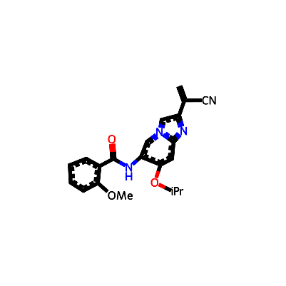 C=C(C#N)c1cn2cc(NC(=O)c3ccccc3OC)c(OC(C)C)cc2n1